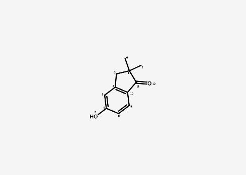 CC1(C)Cc2cc(O)ccc2C1=O